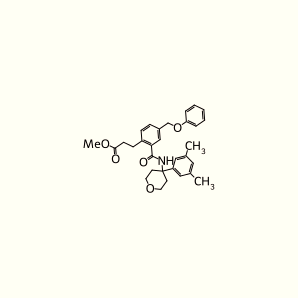 COC(=O)CCc1ccc(COc2ccccc2)cc1C(=O)NC1(c2cc(C)cc(C)c2)CCOCC1